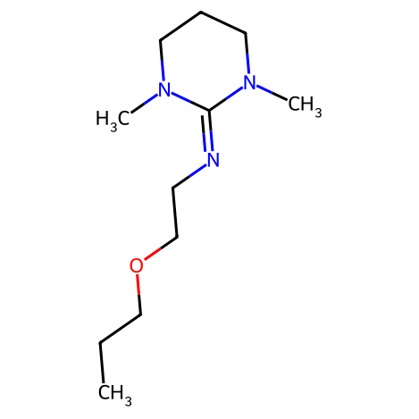 CCCOCCN=C1N(C)CCCN1C